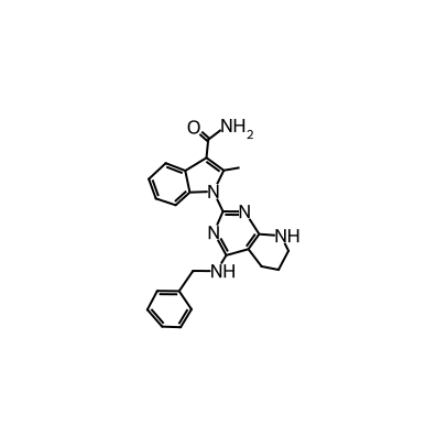 Cc1c(C(N)=O)c2ccccc2n1-c1nc2c(c(NCc3ccccc3)n1)CCCN2